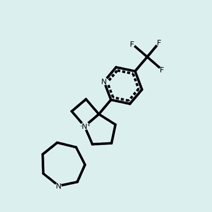 C1CCC[N]CC1.FC(F)(F)c1ccc(C23CCC[N+]2CC3)nc1